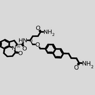 NC(=O)CCCc1ccc2cc(COC[C@H](CCC(N)=O)NC(=O)[C@@H]3Cc4cccc5c4N3C(=O)CCC5)ccc2c1